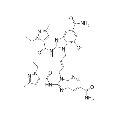 CCn1nc(C)cc1C(=O)Nc1nc2cc(C(N)=O)cnc2n1C/C=C/Cn1c(NC(=O)c2cc(C)nn2CC)nc2cc(C(N)=O)cc(OC)c21